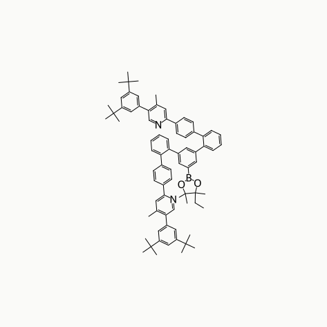 CCC1(C)OB(c2cc(-c3ccccc3-c3ccc(-c4cc(C)c(-c5cc(C(C)(C)C)cc(C(C)(C)C)c5)cn4)cc3)cc(-c3ccccc3-c3ccc(-c4cc(C)c(-c5cc(C(C)(C)C)cc(C(C)(C)C)c5)cn4)cc3)c2)OC1(C)C